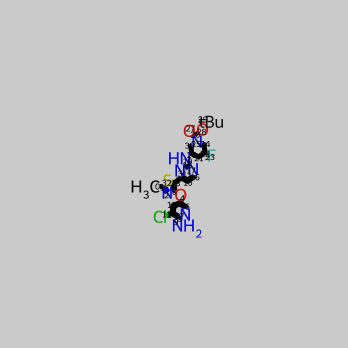 Cc1nc(Oc2cnc(N)c(Cl)c2)c(-c2ccnc(N[C@H]3C[C@H](F)CN(C(=O)OC(C)(C)C)C3)n2)s1